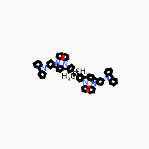 C[Si](C)(c1ccc2c(c1)c1ccc3c4cc(-n5c6ccccc6c6ccccc65)ccc4n(-c4ccccc4)c3c1n2-c1ccccc1)c1ccc2c(c1)c1ccc3c4cc(-n5c6ccccc6c6ccccc65)ccc4n(-c4ccccc4)c3c1n2-c1ccccc1